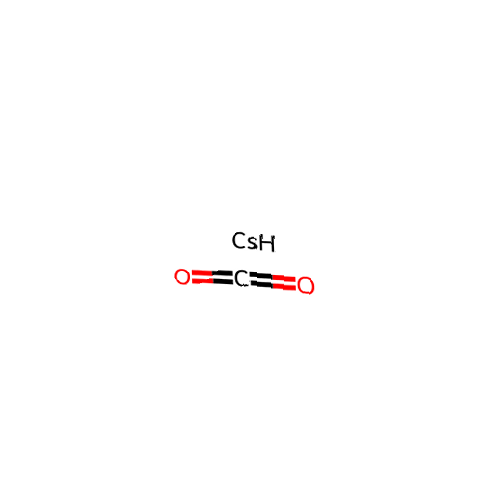 O=C=O.[CsH]